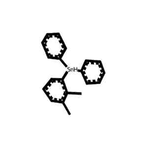 Cc1ccc[c]([SnH]([c]2ccccc2)[c]2ccccc2)c1C